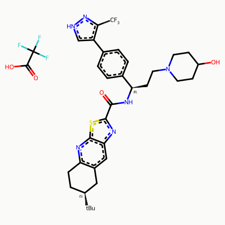 CC(C)(C)[C@H]1CCc2nc3sc(C(=O)N[C@H](CCN4CCC(O)CC4)c4ccc(-c5c[nH]nc5C(F)(F)F)cc4)nc3cc2C1.O=C(O)C(F)(F)F